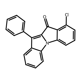 O=C1c2c(Cl)cccc2-n2c1c(-c1ccccc1)c1ccccc12